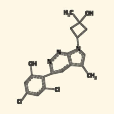 Cc1cn(C2CC(C)(O)C2)c2nnc(-c3c(O)cc(Cl)cc3Cl)cc12